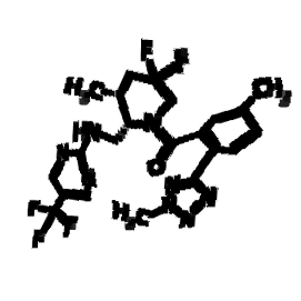 Cc1ccc(-c2nnn(C)n2)c(C(=O)N2CC(F)(F)C[C@@H](C)[C@H]2CNc2ncc(C(F)(F)F)cn2)c1